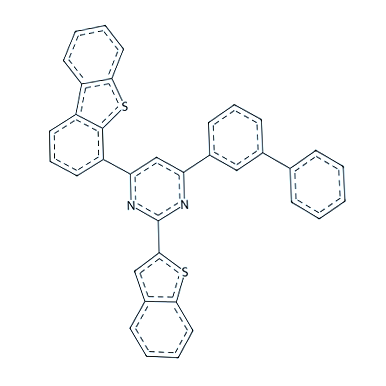 c1ccc(-c2cccc(-c3cc(-c4cccc5c4sc4ccccc45)nc(-c4cc5ccccc5s4)n3)c2)cc1